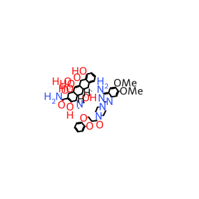 COc1cc2nc(N3CCN(C(=O)C4COc5ccccc5O4)CC3)nc(N)c2cc1OC.C[C@H]1c2cccc(O)c2C(=O)C2=C(O)[C@]3(O)C(=O)C(C(N)=O)=C(O)[C@@H](N(C)C)[C@@H]3[C@@H](O)[C@@H]21.O